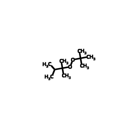 CC(C)C(C)(C)OOC(C)(C)C